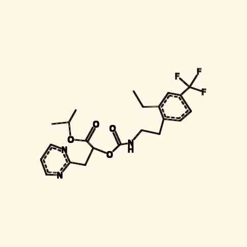 CCc1cc(C(F)(F)F)ccc1CCNC(=O)OC(Cc1ncccn1)C(=O)OC(C)C